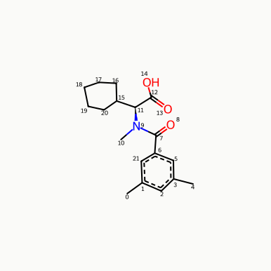 Cc1cc(C)cc(C(=O)N(C)[C@H](C(=O)O)C2CCCCC2)c1